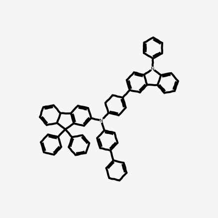 C1=CC2c3ccc(N(C4=CC=C(c5ccc6c(c5)c5ccccc5n6-c5ccccc5)CC4)c4ccc(C5=CCCC=C5)cc4)cc3C(c3ccccc3)(c3ccccc3)C2C=C1